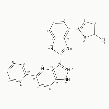 Clc1ccc(-c2cccc3[nH]c(-c4n[nH]c5ccc(-c6ccccn6)nc45)nc23)s1